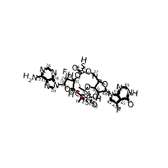 CC(C)(C)[Si](C)(C)OC1[C@H]2OP(=O)(S)OC[C@H]3O[C@@H](n4cnc5c(N)ncnc54)[C@H](F)[C@@H]3OP(=O)(S)OC[C@H]1O[C@H]2n1cc(F)c2c(=O)[nH]cnc21